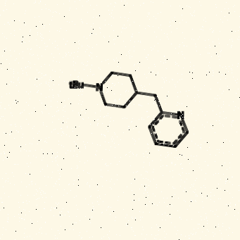 CC(C)(C)N1CCC(Cc2ccccn2)CC1